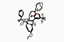 CCOc1ccc2c(C(=O)NC3(c4ccccc4)CC3)c(CN3CCC(N4CCOCC4)CC3)c(-c3cccc(C(F)(F)F)c3)nc2c1